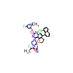 C=C(F)C(=O)N1CCN(c2nc(OC[C@@H]3C[C@@H](F)CN3C)nc3cc(-c4cccc5cccc(Cl)c45)c4c(c23)OCCC4)C[C@@H]1CC#N